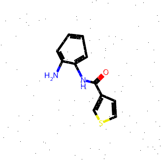 Nc1ccccc1NC(=O)c1ccsc1